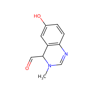 CN1C=Nc2ccc(O)cc2C1C=O